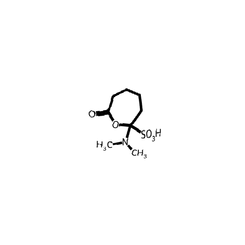 CN(C)C1(S(=O)(=O)O)CCCCC(=O)O1